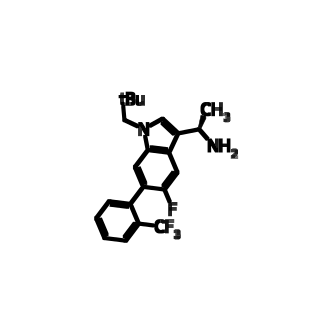 C[C@@H](N)c1cn(CC(C)(C)C)c2cc(-c3ccccc3C(F)(F)F)c(F)cc12